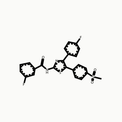 CS(=O)(=O)c1ccc(-c2sc(NC(=O)c3cccc(F)c3)nc2-c2ccc(F)cc2)cc1